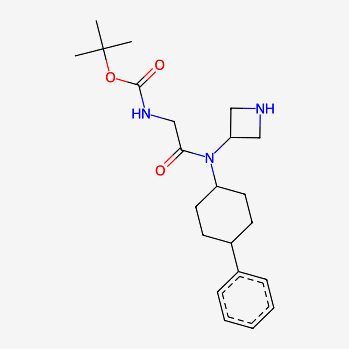 CC(C)(C)OC(=O)NCC(=O)N(C1CCC(c2ccccc2)CC1)C1CNC1